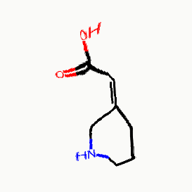 O=C(O)/C=C1/CCCNC1